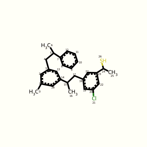 Cc1cc(CC(C)c2ccccc2)cc(C(C)Cc2cc(Cl)cc(C(C)S)c2)c1